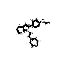 CCOc1ccc(-c2cc3cccnc3n2CCN2CCOCC2)cc1